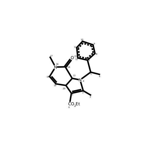 CCOC(=O)C1=C(C)N(C(C)c2ccccc2)C2C(=O)N(C)C=CC12